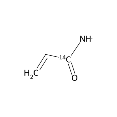 C=C[14C]([NH])=O